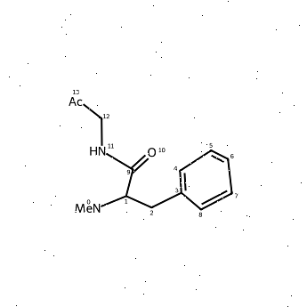 CNC(Cc1ccccc1)C(=O)NCC(C)=O